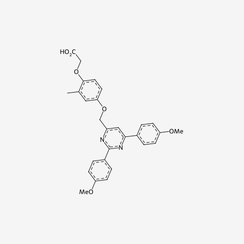 COc1ccc(-c2cc(COc3ccc(OCC(=O)O)c(C)c3)nc(-c3ccc(OC)cc3)n2)cc1